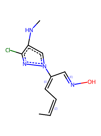 C\C=C/C=C(\C=N\O)n1cc(NC)c(Cl)n1